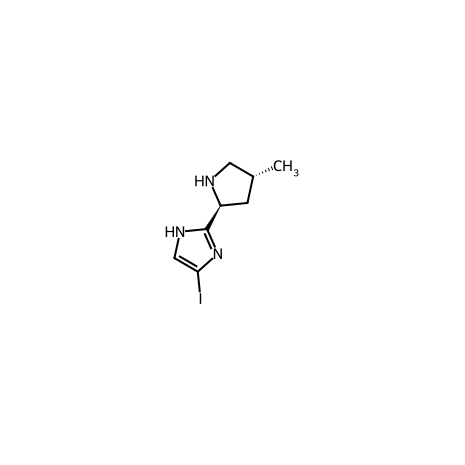 C[C@H]1CN[C@H](c2nc(I)c[nH]2)C1